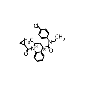 CCN(C(=O)[C@@H]1C[C@@H](C)N(C(=O)C2CC2)c2ccccc21)c1ccc(Cl)cc1